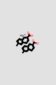 Cc1ccc2cc(C(=O)[O-])ccc2c1.Cc1ccc2cc(C(=O)[O-])ccc2c1.[Hg+2]